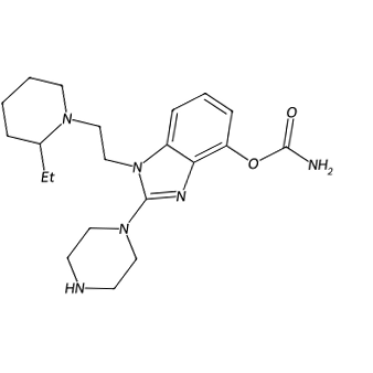 CCC1CCCCN1CCn1c(N2CCNCC2)nc2c(OC(N)=O)cccc21